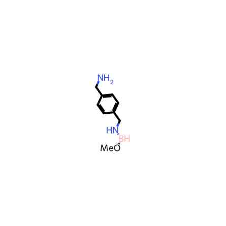 COBNCc1ccc(CN)cc1